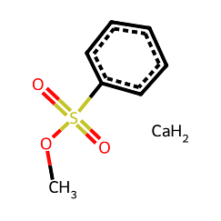 COS(=O)(=O)c1ccccc1.[CaH2]